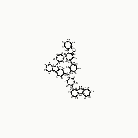 c1ccc(-n2c3ccccc3c3ccc(N(c4ccc(-c5cccc6c5oc5ccccc56)cc4)c4cccc(-c5ccc6c(c5)oc5ccccc56)c4)cc32)cc1